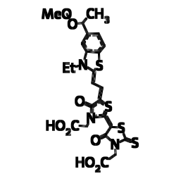 CCN1/C(=C/C=c2/s/c(=C3\SC(=S)N(CC(=O)O)C3=O)n(CC(=O)O)c2=O)Sc2ccc(C(C)OOC)cc21